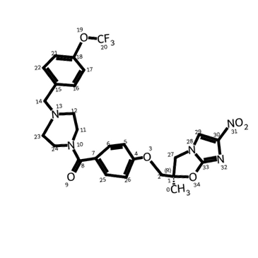 C[C@]1(COc2ccc(C(=O)N3CCN(Cc4ccc(OC(F)(F)F)cc4)CC3)cc2)Cn2cc([N+](=O)[O-])nc2O1